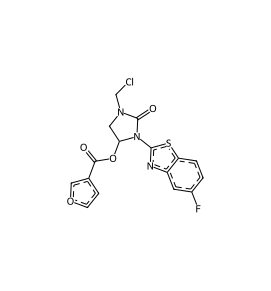 O=C(OC1CN(CCl)C(=O)N1c1nc2cc(F)ccc2s1)c1ccoc1